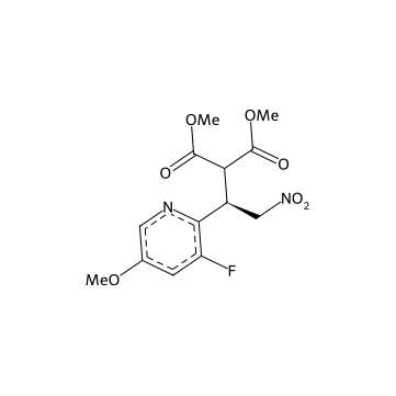 COC(=O)C(C(=O)OC)[C@@H](C[N+](=O)[O-])c1ncc(OC)cc1F